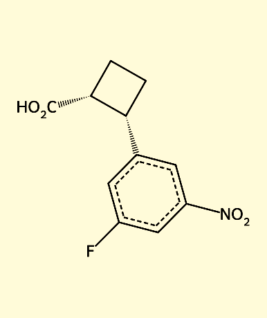 O=C(O)[C@@H]1CC[C@@H]1c1cc(F)cc([N+](=O)[O-])c1